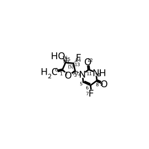 C=C1O[C@@H](n2cc(F)c(=O)[nH]c2=O)[C@@H](F)[C@@H]1O